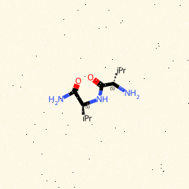 CC(C)[C@H](N)C(=O)N[C@H](C(N)=O)C(C)C